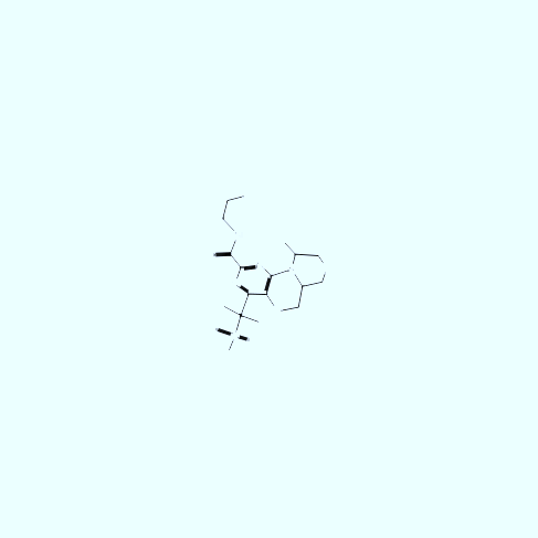 CC1COCC2COc3c(nc(C(=O)NC[C@H](C)O)nc3C(C)(C)S(C)(=O)=O)N12